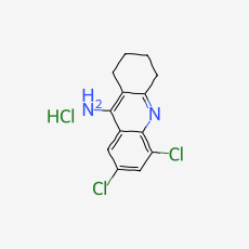 Cl.Nc1c2c(nc3c(Cl)cc(Cl)cc13)CCCC2